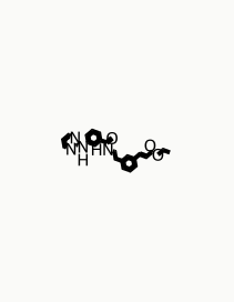 CCOC(=O)C=Cc1cccc(CCNC(=O)c2cccc(Nc3ncccn3)c2)c1